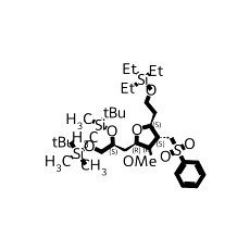 CC[Si](CC)(CC)OCC[C@@H]1O[C@H](C[C@@H](CO[Si](C)(C)C(C)(C)C)O[Si](C)(C)C(C)(C)C)[C@H](OC)[C@H]1CS(=O)(=O)c1ccccc1